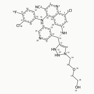 N#Cc1cnc2c(Cl)cc(N[C@H](C3=CN(CCOCCO)NN3)c3cccnc3)cc2c1Nc1ccc(F)c(Cl)c1